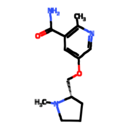 Cc1ncc(OC[C@@H]2CCCN2C)cc1C(N)=O